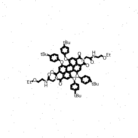 CCOCCNC(=O)CN1C(=O)c2cc(Oc3ccc(C(C)(C)C)cc3)c3c4c(Oc5ccc(C(C)(C)C)cc5)cc5c6c(cc(Oc7ccc(C(C)(C)C)cc7)c(c7c(Oc8ccc(C(C)(C)C)cc8)cc(c2c37)C1=O)c64)C(=O)N(CC(=O)NCCOCC)C5=O